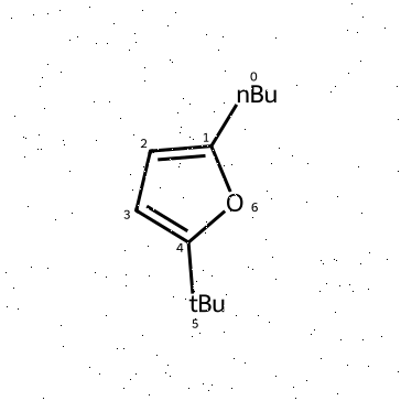 CCCCc1ccc(C(C)(C)C)o1